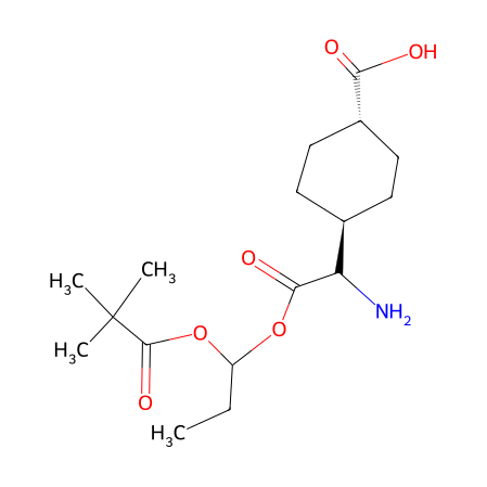 CCC(OC(=O)C(N)[C@H]1CC[C@H](C(=O)O)CC1)OC(=O)C(C)(C)C